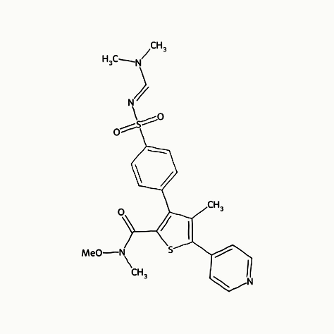 CON(C)C(=O)c1sc(-c2ccncc2)c(C)c1-c1ccc(S(=O)(=O)N=CN(C)C)cc1